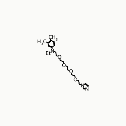 CCN(CCOCCOCCOCCOCCn1ccnc1)c1ccc(C)c(C)c1